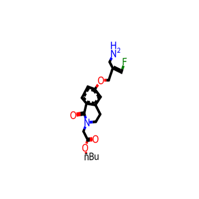 CCCCOC(=O)CN1CCc2cc(OC/C(=C/F)CN)ccc2C1=O